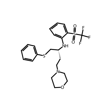 O=S(=O)(c1ccccc1N[C@H](CCN1CCOCC1)CSc1ccccc1)C(F)(F)F